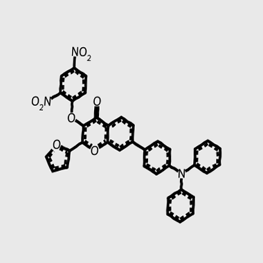 O=c1c(Oc2ccc([N+](=O)[O-])cc2[N+](=O)[O-])c(-c2ccco2)oc2cc(-c3ccc(N(c4ccccc4)c4ccccc4)cc3)ccc12